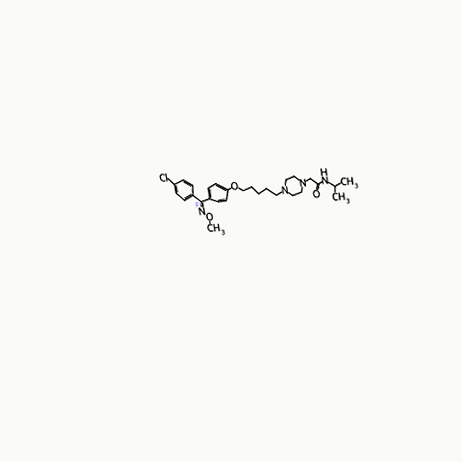 CO/N=C(/c1ccc(Cl)cc1)c1ccc(OCCCCCN2CCN(CC(=O)NC(C)C)CC2)cc1